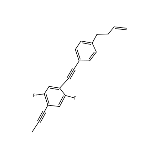 C=CCCc1ccc(C#Cc2cc(F)c(C#CC)cc2F)cc1